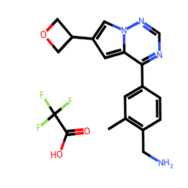 Cc1cc(-c2ncnn3cc(C4COC4)cc23)ccc1CN.O=C(O)C(F)(F)F